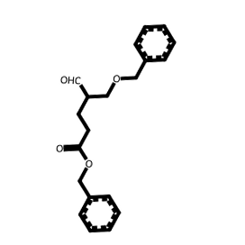 O=CC(CCC(=O)OCc1ccccc1)COCc1ccccc1